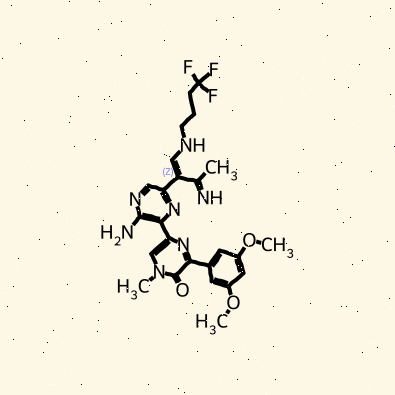 COc1cc(OC)cc(-c2nc(-c3nc(/C(=C/NCCCC(F)(F)F)C(C)=N)cnc3N)cn(C)c2=O)c1